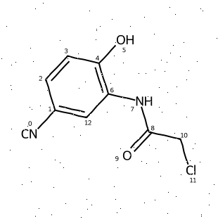 [C-]#[N+]c1ccc(O)c(NC(=O)CCl)c1